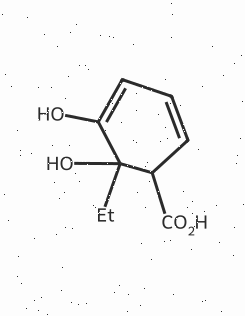 CCC1(O)C(O)=CC=CC1C(=O)O